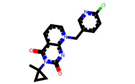 CC1(n2c(=O)nc3n(Cc4ccc(Cl)nc4)cccc-3c2=O)CC1